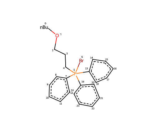 CCCCOCCCP(Br)(c1ccccc1)(c1ccccc1)c1ccccc1